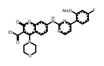 CCC(=O)c1c(N2CCOCC2)c2ccc(Nc3nccc(-c4ccc(F)cc4OC)n3)cc2oc1=O